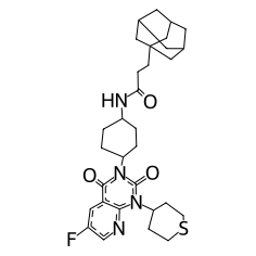 O=C(CCC12CC3CC(CC(C3)C1)C2)NC1CCC(n2c(=O)c3cc(F)cnc3n(C3CCSCC3)c2=O)CC1